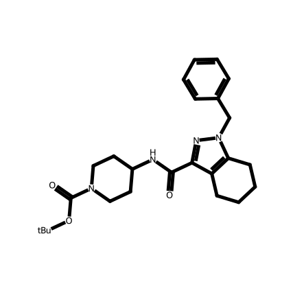 CC(C)(C)OC(=O)N1CCC(NC(=O)c2nn(Cc3ccccc3)c3c2CCCC3)CC1